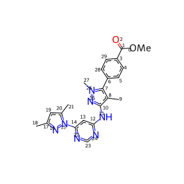 COC(=O)c1ccc(-c2c(C)c(Nc3cc(-n4nc(C)cc4C)ncn3)nn2C)cc1